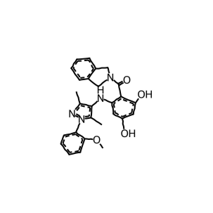 COc1ccccc1-n1nc(C)c(Nc2cc(O)cc(O)c2C(=O)N2Cc3ccccc3C2)c1C